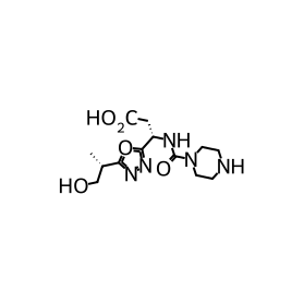 C[C@@H](CO)c1nnc([C@H](CC(=O)O)NC(=O)N2CCNCC2)o1